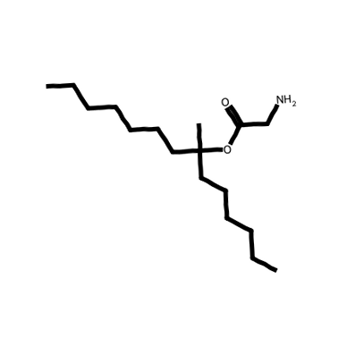 CCCCCCCC(C)(CCCCCC)OC(=O)CN